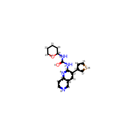 O=C(Nc1nc2ccncc2cc1-c1ccsc1)NC1CCCCO1